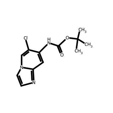 CC(C)(C)OC(=O)Nc1cc2nccn2cc1Cl